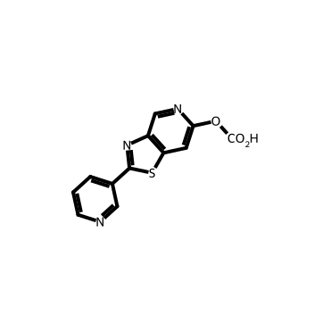 O=C(O)Oc1cc2sc(-c3cccnc3)nc2cn1